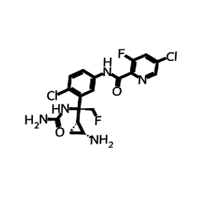 NC(=O)N[C@](CF)(c1cc(NC(=O)c2ncc(Cl)cc2F)ccc1Cl)[C@H]1C[C@H]1N